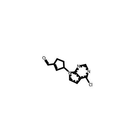 O=CC1=CC(n2ccc3c(Cl)ncnc32)CC1